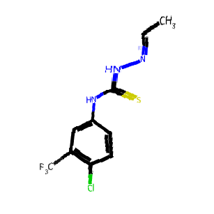 C/C=N/NC(=S)Nc1ccc(Cl)c(C(F)(F)F)c1